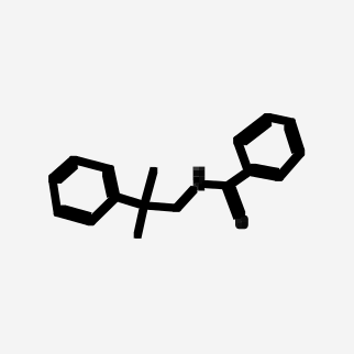 CC(C)(CNC(=O)c1ccccc1)c1ccccc1